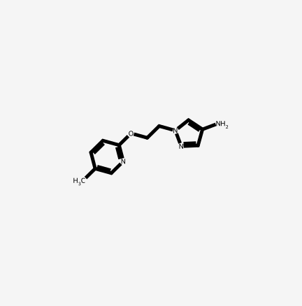 Cc1ccc(OCCn2cc(N)cn2)nc1